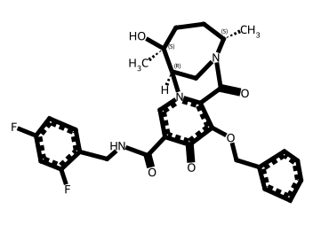 C[C@H]1CC[C@](C)(O)[C@H]2CN1C(=O)c1c(OCc3ccccc3)c(=O)c(C(=O)NCc3ccc(F)cc3F)cn12